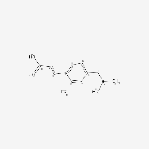 CN(C)Cc1ccc(C=CC(=O)O)cc1.Cl